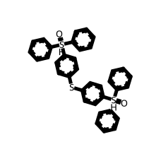 O=[SH](c1ccccc1)(c1ccccc1)c1ccc(Sc2ccc([SH](=O)(c3ccccc3)c3ccccc3)cc2)cc1